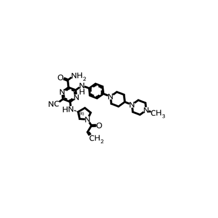 C=CC(=O)N1CC[C@@H](Nc2nc(Nc3ccc(N4CCC(N5CCN(C)CC5)CC4)cc3)c(C(N)=O)nc2C#N)C1